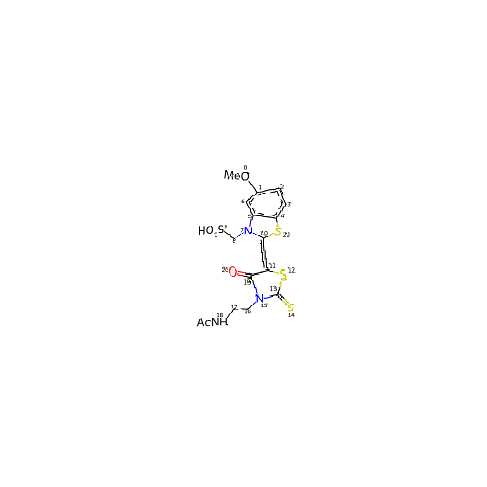 COc1ccc2c(c1)N(CS(=O)(=O)O)/C(=C1/SC(=S)N(CCNC(C)=O)C1=O)S2